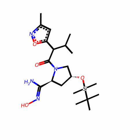 Cc1cc(C(C(=O)N2C[C@H](O[Si](C)(C)C(C)(C)C)C[C@H]2/C(N)=N/O)C(C)C)on1